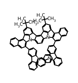 CC(C)(C)c1cc2c3c4c5cc(C(C)(C)C)cc6c7c8ccccc8cc(-c8ccc9c(c8)c8ccccc8n9-c8ccccc8)c7n(c4ccc3n3c4c(-c7ccc8c(c7)c7ccccc7n8-c7ccccc7)cc7ccccc7c4c(c1)c23)c56